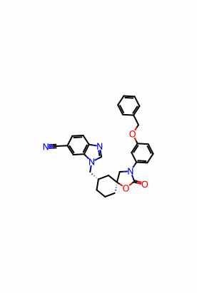 N#Cc1ccc2ncn(C[C@H]3CCC[C@]4(C3)CN(c3cccc(OCc5ccccc5)c3)C(=O)O4)c2c1